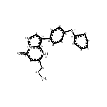 COCc1cc(=O)n2ncc(-c3ccc(Sc4ccccc4)cc3)c2[nH]1